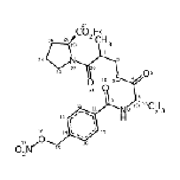 CC(CSC(=O)[C@H](C)NC(=O)c1ccc(CO[N+](=O)[O-])cc1)C(=O)N1CCC[C@H]1C(=O)O